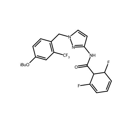 CC(C)COc1ccc(Cn2ccc(NC(=O)C3C(F)=CC=CC3F)n2)c(C(F)(F)F)c1